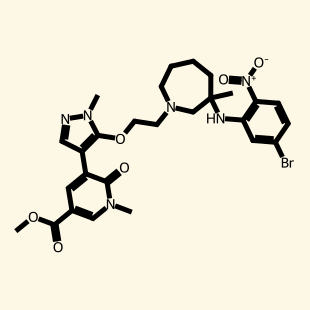 COC(=O)c1cc(-c2cnn(C)c2OCCN2CCCCC(C)(Nc3cc(Br)ccc3[N+](=O)[O-])C2)c(=O)n(C)c1